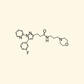 O=C(CCc1cc(-c2cccc(F)c2)n(-c2ccccn2)n1)NCCCN1CCOCC1